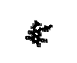 CCCNCc1nc2c(O)c(Cl)cc(Cl)c2c(=O)n1CC1CC1